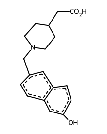 O=C(O)CC1CCN(Cc2ccc3cc(O)ccc3c2)CC1